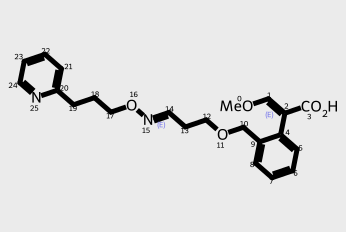 CO/C=C(/C(=O)O)c1ccccc1COCC/C=N/OCCCc1ccccn1